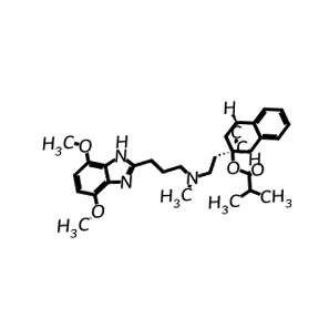 COc1ccc(OC)c2[nH]c(CCCN(C)CC[C@]3(OC(=O)C(C)C)C[C@H]4CCC[C@@H]3c3ccccc34)nc12